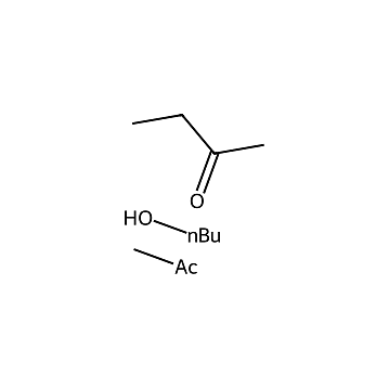 CC(C)=O.CCC(C)=O.CCCCO